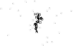 Cc1cc(Cc2nc3c(F)cc(C(=O)O)cc3n2C2COCC2(C)C)c(Cl)cc1-c1ccnc(OCc2ccc(C#N)cc2F)n1